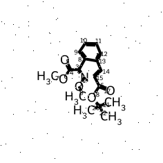 CON=C(C(=O)OC)c1ccccc1/C=C/C(=O)OC(C)(C)C